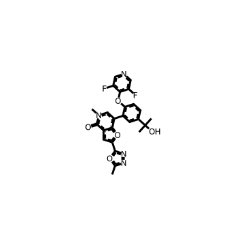 Cc1nnc(-c2cc3c(=O)n(C)cc(-c4cc(C(C)(C)O)ccc4Oc4c(F)cncc4F)c3o2)o1